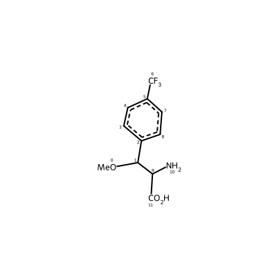 COC(c1ccc(C(F)(F)F)cc1)C(N)C(=O)O